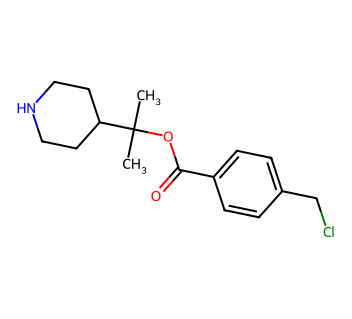 CC(C)(OC(=O)c1ccc(CCl)cc1)C1CCNCC1